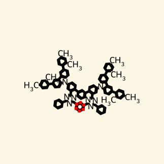 Cc1ccc(-c2ccc3c(c2)c2cc(-c4ccc(C)cc4C)ccc2n3-c2ccc(-c3cccc(-c4ccc(-n5c6ccc(-c7ccc(C)cc7C)cc6c6cc(-c7ccc(C)cc7C)ccc65)cc4-c4nc(-c5ccccc5)nc(-c5ccccc5)n4)c3)c(-c3nc(-c4ccccc4)nc(-c4ccccc4)n3)c2)c(C)c1